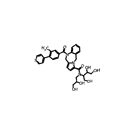 Cc1cc(C(=O)N2Cc3ccc(C(=O)N(CC(O)CO)C(CO)C(O)CO)n3Cc3ccccc32)ccc1-c1ccncc1